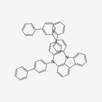 c1ccc(-c2ccc(N(c3ccc(-c4ccccc4)cc3)c3cccc4c5ccccc5n(-c5ccc(-c6cccc(-c7ccccc7)c6)cc5)c34)cc2)cc1